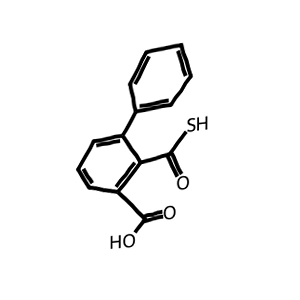 O=C(O)c1cccc(-c2ccccc2)c1C(=O)S